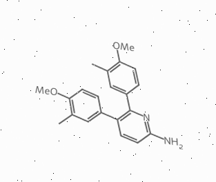 COc1ccc(-c2ccc(N)nc2-c2ccc(OC)c(C)c2)cc1C